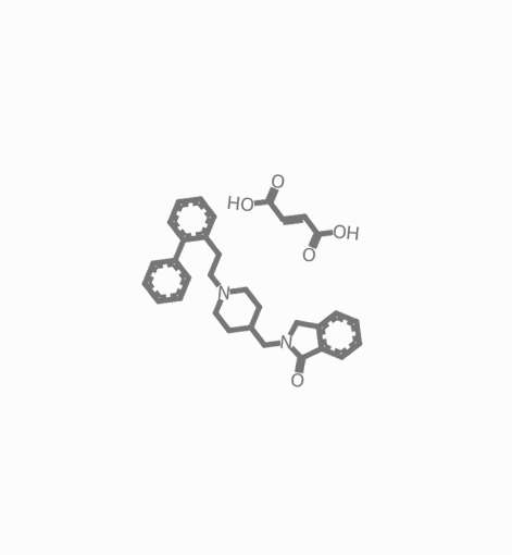 O=C(O)C=CC(=O)O.O=C1c2ccccc2CN1CC1CCN(CCc2ccccc2-c2ccccc2)CC1